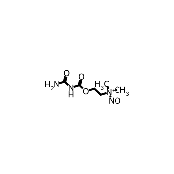 C[N+](C)(CCOC(=O)NC(N)=O)N=O